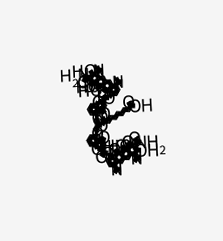 CN(C)c1ccc(OC(=O)c2cc(=O)c3c(OCC(COc4cccc5oc(C(=O)Oc6ccc(N(C)C)c7c6C(=O)C6=C(O)C8(O)C(=O)C(C(N)=O)=C(O)C(N(C)C)C8CC6C7)cc(=O)c45)OC(=O)CCCCCCCC(=O)O)cccc3o2)c2c1CC1CC3C(N(C)C)C(O)=C(C(N)=O)C(=O)C3(O)C(O)=C1C2=O